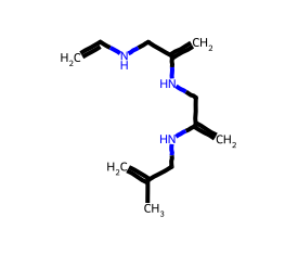 C=CNCC(=C)NCC(=C)NCC(=C)C